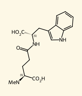 CN[C@@H](CCC(=O)N[C@@H](Cc1c[nH]c2ccccc12)C(=O)O)C(=O)O